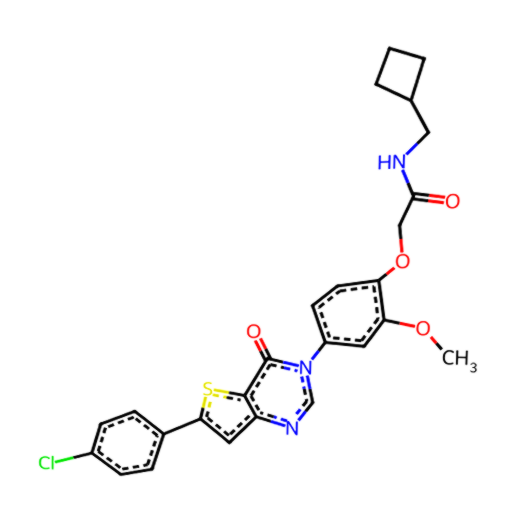 COc1cc(-n2cnc3cc(-c4ccc(Cl)cc4)sc3c2=O)ccc1OCC(=O)NCC1CCC1